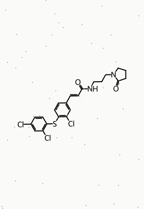 O=C(C=Cc1ccc(Sc2ccc(Cl)cc2Cl)c(Cl)c1)NCCCN1CCCC1=O